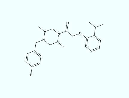 CC(C)c1ccccc1OCC(=O)N1CC(C)N(Cc2ccc(F)cc2)CC1C